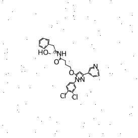 O=C(CCCOc1cc(-c2cccnc2)nn1-c1ccc(Cl)c(Cl)c1)N[C@H](CO)Cc1ccccc1